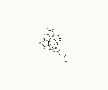 C=CCC[O-].C=CCC[O-].C=CCC[O-].[Zr+3][C]1=CC=CC1